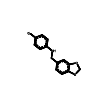 Clc1ccc(NCc2ccc3c(c2)OCO3)cc1